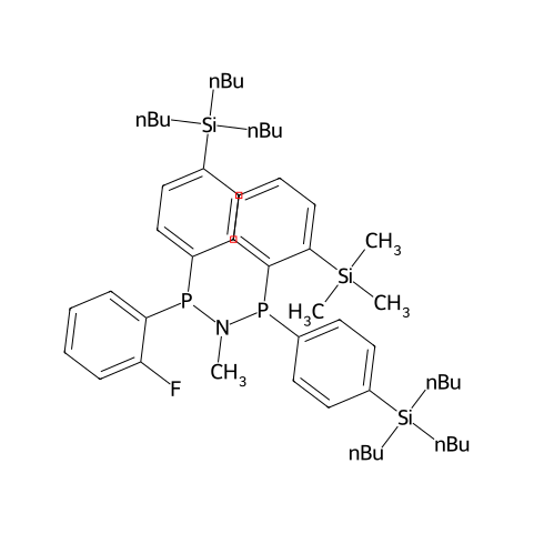 CCCC[Si](CCCC)(CCCC)c1ccc(P(c2ccccc2F)N(C)P(c2ccc([Si](CCCC)(CCCC)CCCC)cc2)c2ccccc2[Si](C)(C)C)cc1